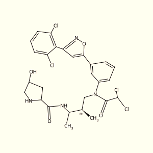 CC(NC(=O)C1CC(O)CN1)[C@H](C)CN(C(=O)C(Cl)Cl)c1cccc(-c2cc(-c3c(Cl)cccc3Cl)no2)c1